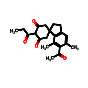 CCC(=O)C1C(=O)CC2(CCc3cc(C)c(C(C)=O)c(C)c32)CC1=O